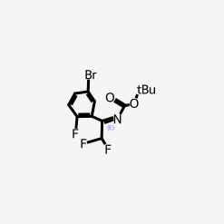 CC(C)(C)OC(=O)/N=C(\c1cc(Br)ccc1F)C(F)F